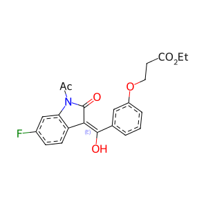 CCOC(=O)CCOc1cccc(/C(O)=C2\C(=O)N(C(C)=O)c3cc(F)ccc32)c1